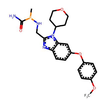 CP(NCc1nc2ccc(Oc3ccc(OC(F)(F)F)cc3)cc2n1C1CCOCC1)C(N)=O